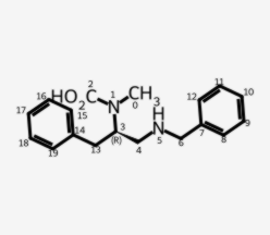 CN(C(=O)O)[C@@H](CNCc1ccccc1)Cc1ccccc1